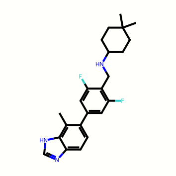 Cc1c(-c2cc(F)c(CNC3CCC(C)(C)CC3)c(F)c2)ccc2nc[nH]c12